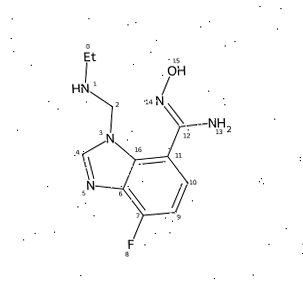 CCNCn1cnc2c(F)ccc(C(N)=NO)c21